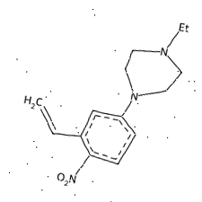 C=Cc1cc(N2CCN(CC)CC2)ccc1[N+](=O)[O-]